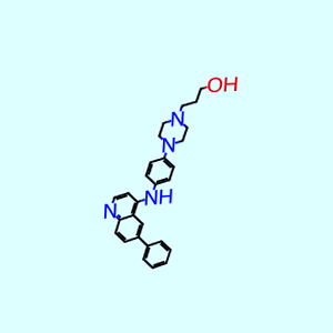 OCCCN1CCN(c2ccc(Nc3ccnc4ccc(-c5ccccc5)cc34)cc2)CC1